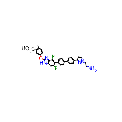 Cc1ccc(Oc2nc3c(F)c(-c4ccc(-c5ccc(-c6ccn(CCN)n6)cc5)cc4)c(F)cc3[nH]2)cc1C(=O)O